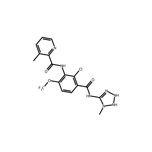 Cc1cccnc1C(=O)Nc1c(OC(F)(F)F)ccc(C(=O)NC2=NNNN2C)c1Cl